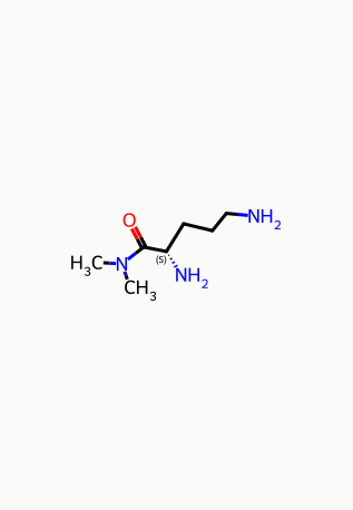 CN(C)C(=O)[C@@H](N)CCCN